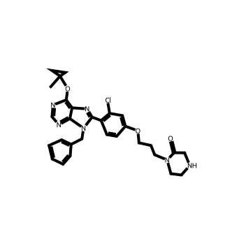 CC1(Oc2ncnc3c2nc(-c2ccc(OCCCN4CCNCC4=O)cc2Cl)n3Cc2ccccc2)CC1